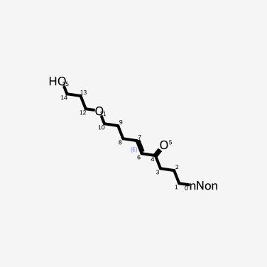 CCCCCCCCCCCCC(=O)/C=C/CCCOCCCO